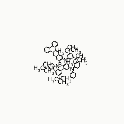 CC(C)(C)c1cc(N2c3cc4cc5c6ccccc6c6ccccc6c5cc4cc3B3c4c(cc(N(c5ccccc5)c5ccccc5)cc42)-c2cc(C(C)(C)C)cc4c5cc(C(C)(C)C)ccc5n3c24)cc(C(C)(C)C)c1